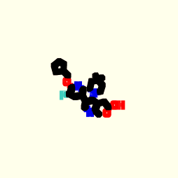 Cc1ncc(-c2cnc(OCC3CCCC3)c(F)c2)c(N2CCC(C)(C)CC2)c1CC(=O)O